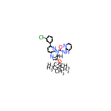 CC(C)(C)[Si](C)(C)O[C@@H]1CN2C[C@H]1N(C(=O)Nc1ccccn1)c1nc(-c3cccc(Cl)c3)ccc12